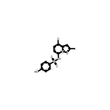 Cc1cc2c(Cl)ccc(NS(=O)(=O)c3ccc(C(C)(C)C)cc3)n2n1